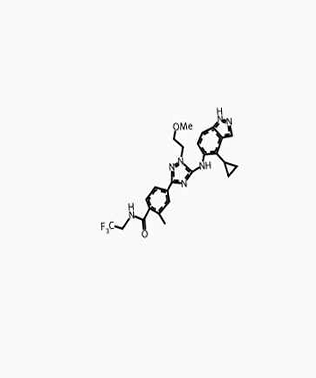 COCCn1nc(-c2ccc(C(=O)NCC(F)(F)F)c(C)c2)nc1Nc1ccc2[nH]ncc2c1C1CC1